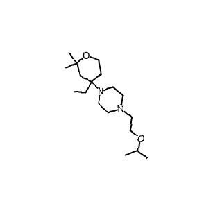 CCC1(N2CCN(CCOC(C)C)CC2)CCOC(C)(C)C1